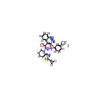 O=C(N[C@H]1CCCc2sc(C3CC3)nc21)c1c(Oc2cccc(C(F)(F)F)c2)nnc2ccccc12